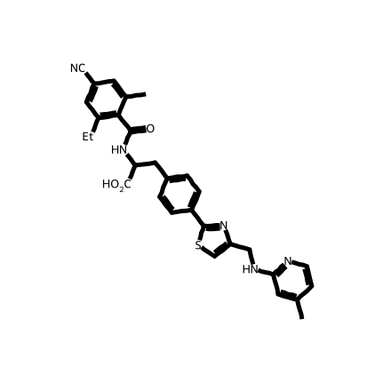 CCc1cc(C#N)cc(C)c1C(=O)NC(Cc1ccc(-c2nc(CNc3cc(C)ccn3)cs2)cc1)C(=O)O